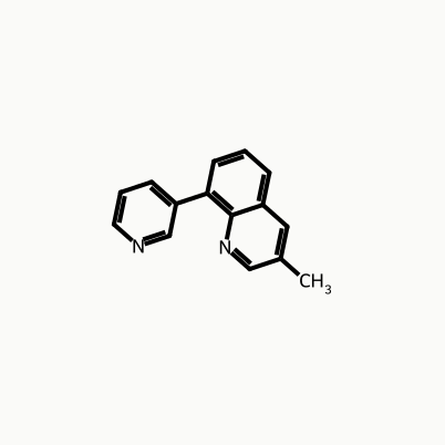 Cc1cnc2c(-c3cccnc3)cccc2c1